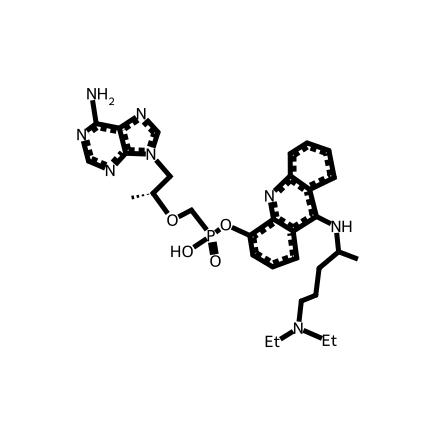 CCN(CC)CCCC(C)Nc1c2ccccc2nc2c(OP(=O)(O)CO[C@H](C)Cn3cnc4c(N)ncnc43)cccc12